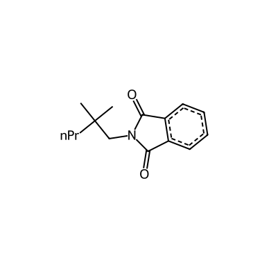 CCCC(C)(C)CN1C(=O)c2ccccc2C1=O